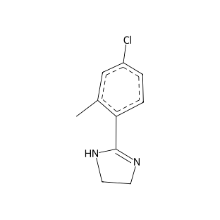 Cc1cc(Cl)ccc1C1=NCCN1